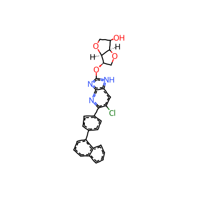 O[C@@H]1CO[C@H]2[C@@H]1OC[C@H]2Oc1nc2nc(-c3ccc(-c4cccc5ccccc45)cc3)c(Cl)cc2[nH]1